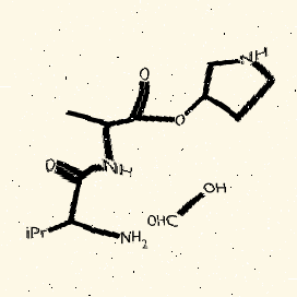 CC(NC(=O)C(N)C(C)C)C(=O)OC1CCNC1.O=CO